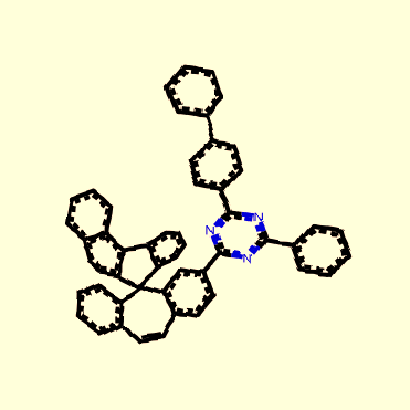 C1=Cc2ccc(-c3nc(-c4ccccc4)nc(-c4ccc(-c5ccccc5)cc4)n3)cc2C2(c3ccccc31)c1ccccc1-c1c2ccc2ccccc12